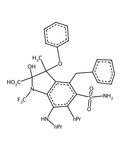 CCCNc1c(CCC)c(S(N)(=O)=O)c(Cc2ccccc2)c2c1N(C(F)(F)F)C(O)(C(=O)O)C2(C)Oc1ccccc1